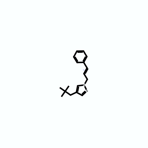 CC(C)(C)Cc1cnn(C/C=C/c2ccccc2)c1